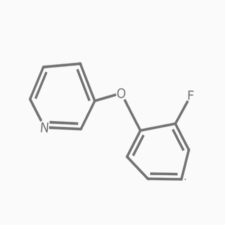 Fc1c[c]ccc1Oc1cccnc1